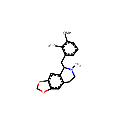 COc1cccc(CC2c3cc4c(cc3CCN2C)OCO4)c1OC